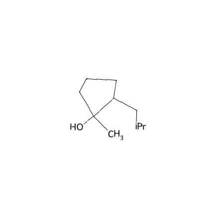 CC(C)CC1CCCC1(C)O